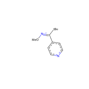 CO/N=C(\c1ccncc1)C(C)(C)C